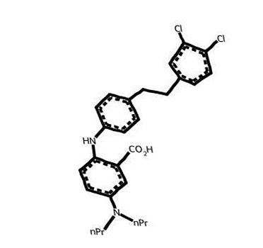 CCCN(CCC)c1ccc(Nc2ccc(CCc3ccc(Cl)c(Cl)c3)cc2)c(C(=O)O)c1